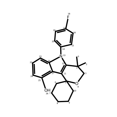 CC1(C)COC2(CCCCC2)c2c1n(-c1ccc(F)cc1)c1cccc(O)c21